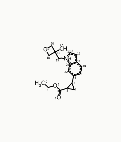 CCOC(=O)C1CC1c1ccc2ccn(CC3(C)COC3)c2c1